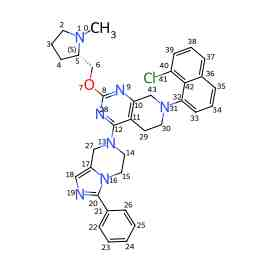 CN1CCC[C@H]1COc1nc2c(c(N3CCn4c(cnc4-c4ccccc4)C3)n1)CCN(c1cccc3cccc(Cl)c13)C2